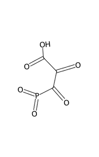 O=C(O)C(=O)C(=O)P(=O)=O